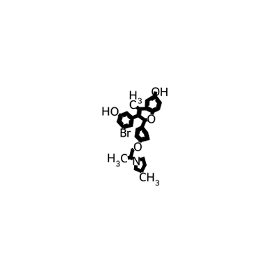 CC1=C(c2cc(O)cc(Br)c2)C(c2ccc(OCC(C)N3CCC(C)C3)cc2)Oc2ccc(O)cc21